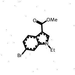 CCn1cc(C(=O)OC)c2ccc(Br)cc21